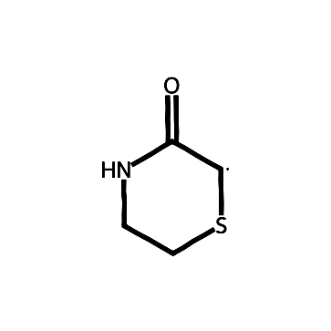 O=C1[CH]SCCN1